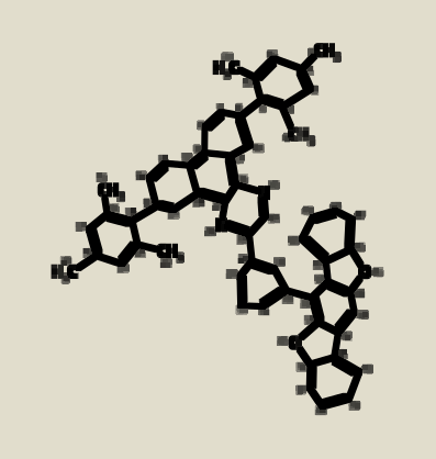 Cc1cc(C)c(-c2ccc3c4ccc(-c5c(C)cc(C)cc5C)cc4c4nc(-c5cccc(-c6c7oc8ccccc8c7cc7oc8ccccc8c67)c5)cnc4c3c2)c(C)c1